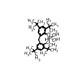 CC(C)(C)c1cc2c(c(C(C)(C)C)c1)O[PH](O)(O)Oc1c(cc(C(C)(C)C)cc1C(C)(C)C)C2